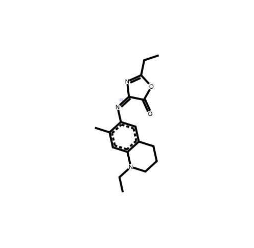 CCC1=N/C(=N/c2cc3c(cc2C)N(CC)CCC3)C(=O)O1